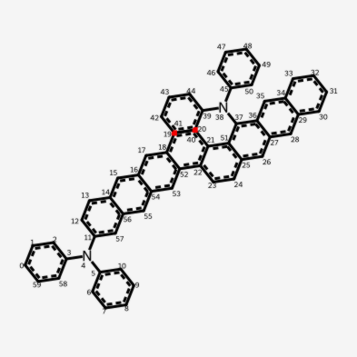 c1ccc(N(c2ccccc2)c2ccc3cc4cc5ccc6c(ccc7cc8cc9ccccc9cc8c(N(c8ccccc8)c8ccccc8)c76)c5cc4cc3c2)cc1